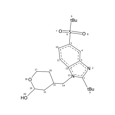 CC(C)(C)c1nc2cc(S(=O)(=O)C(C)(C)C)ccc2n1CC1CCOC(O)C1